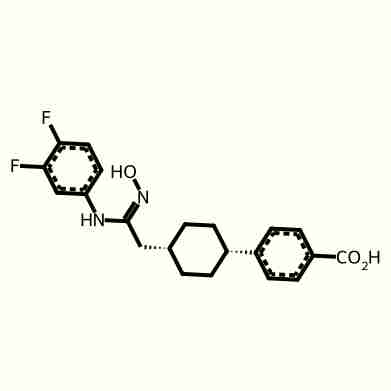 O=C(O)c1ccc([C@H]2CC[C@@H](CC(=NO)Nc3ccc(F)c(F)c3)CC2)cc1